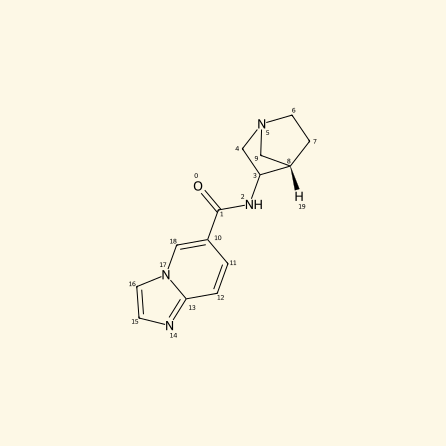 O=C(NC1CN2CC[C@H]1C2)c1ccc2nccn2c1